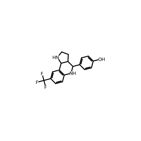 Oc1ccc(C2Nc3ccc(C(F)(F)F)cc3C3NCCC23)cc1